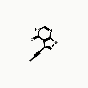 CC#Cc1n[nH]c2nc[nH]c(=O)c12